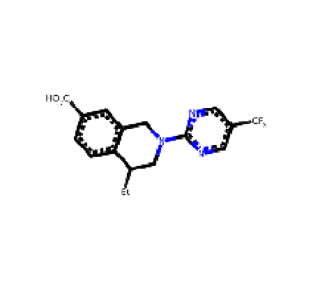 CCC1CN(c2ncc(C(F)(F)F)cn2)Cc2cc(C(=O)O)ccc21